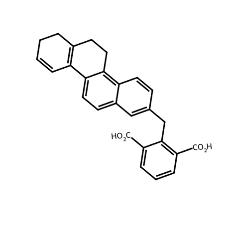 O=C(O)c1cccc(C(=O)O)c1Cc1ccc2c3c(ccc2c1)C1=C(CCC=C1)CC3